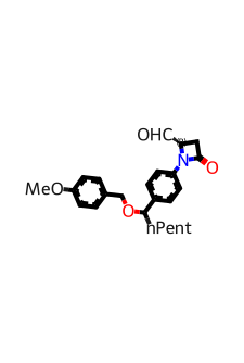 CCCCCC(OCc1ccc(OC)cc1)c1ccc(N2C(=O)C[C@@H]2C=O)cc1